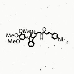 COc1cc(-n2c3ccccc3c3cc(CNC(=O)/C=C/c4ccc(N)cc4)ncc32)cc(OC)c1OC